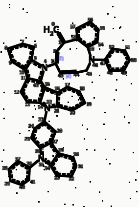 C=C1/C=C(n2c3ccccc3c3ccc4c(c5ccccc5n4-c4ccc5c(c4)c4ccccc4n5-c4ccccc4)c32)\C=C/CN(c2ccccc2)c2ccccc21